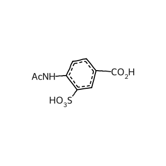 CC(=O)Nc1ccc(C(=O)O)cc1S(=O)(=O)O